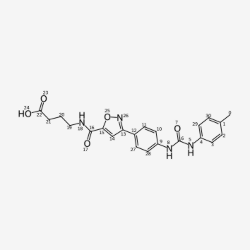 Cc1ccc(NC(=O)Nc2ccc(-c3cc(C(=O)NCCCC(=O)O)on3)cc2)cc1